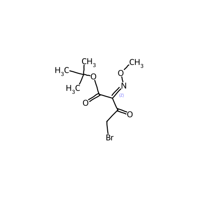 CO/N=C(/C(=O)CBr)C(=O)OC(C)(C)C